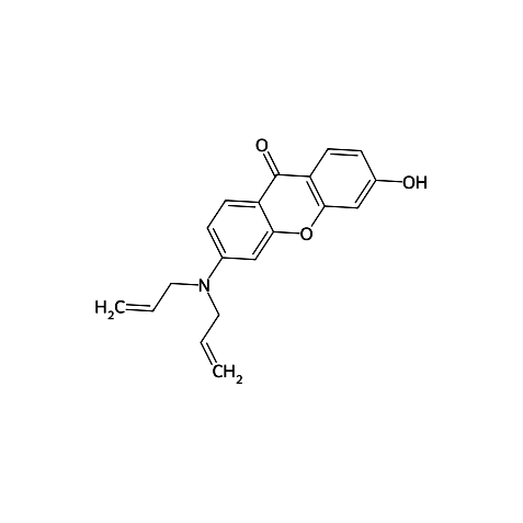 C=CCN(CC=C)c1ccc2c(=O)c3ccc(O)cc3oc2c1